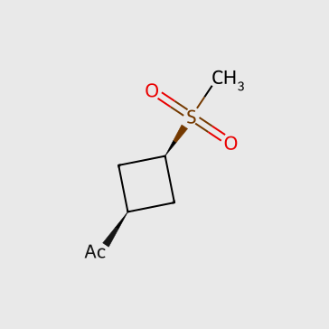 CC(=O)[C@H]1C[C@@H](S(C)(=O)=O)C1